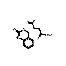 COC(=O)CCC(=O)Cl.O=C1Nc2ccccc2CO1